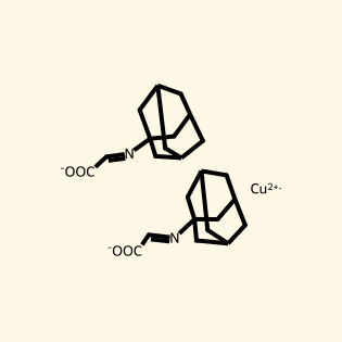 O=C([O-])C=NC12CC3CC(CC(C3)C1)C2.O=C([O-])C=NC12CC3CC(CC(C3)C1)C2.[Cu+2]